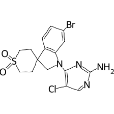 Nc1ncc(Cl)c(N2CC3(CCS(=O)(=O)CC3)c3ccc(Br)cc32)n1